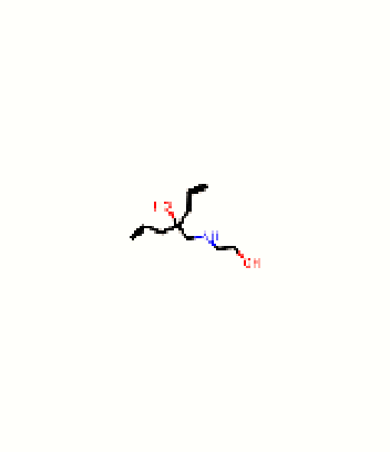 C=CCC(O)(CC=C)CNCCO